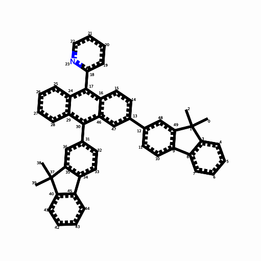 CC1(C)c2ccccc2-c2ccc(-c3ccc4c(-c5ccccn5)c5ccccc5c(-c5ccc6c(c5)C(C)(C)c5ccccc5-6)c4c3)cc21